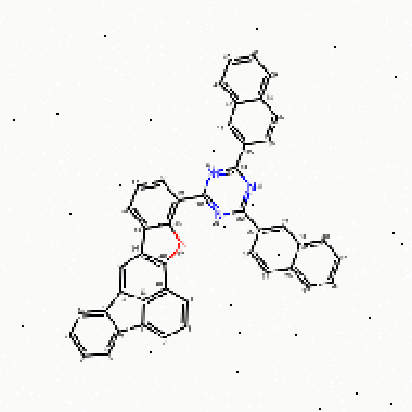 c1ccc2c(c1)-c1cccc3c1c-2cc1c2cccc(-c4nc(-c5ccc6ccccc6c5)nc(-c5ccc6ccccc6c5)n4)c2oc31